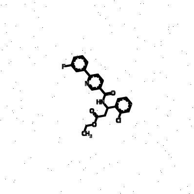 CCOC(=O)CC(NC(=O)c1ccc(-c2cccc(F)c2)nc1)c1ccccc1Cl